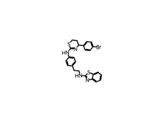 Brc1ccc(C2CCSC(Nc3ccc(CCNc4nc5ccccc5s4)cc3)=N2)cc1